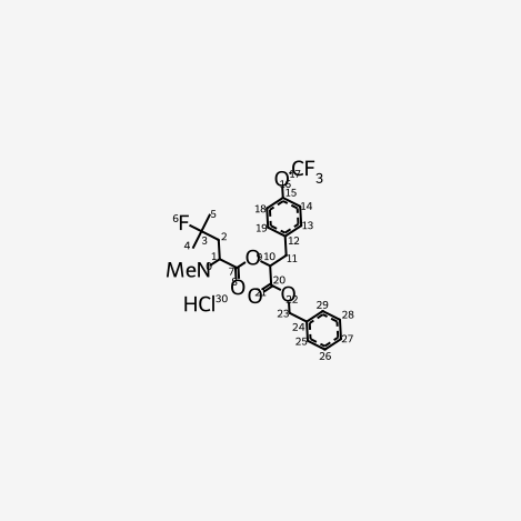 CNC(CC(C)(C)F)C(=O)OC(Cc1ccc(OC(F)(F)F)cc1)C(=O)OCc1ccccc1.Cl